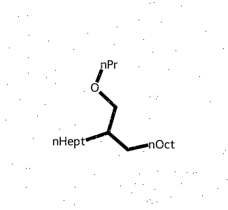 CCCCCCCCCC(CCCCCCC)COCCC